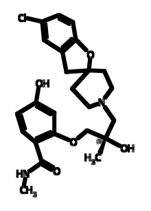 CNC(=O)c1ccc(O)cc1OC[C@@](C)(O)CN1CCC2(CC1)Cc1cc(Cl)ccc1O2